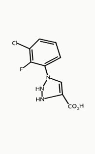 O=C(O)C1=CN(c2cccc(Cl)c2F)NN1